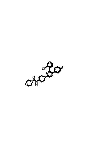 O=C(NC1CCN(c2cnc(-c3ccc(F)cc3)c(-c3ccncc3Cl)n2)CC1)N1CCOCC1